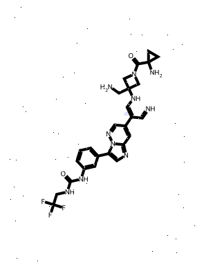 N=C/C(=C\NC1(CN)CN(C(=O)C2(N)CC2)C1)c1cnn2c(-c3cccc(NC(=O)NCC(F)(F)F)c3)cnc2c1